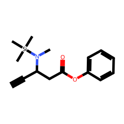 C#CC(CC(=O)Oc1ccccc1)N(C)[Si](C)(C)C